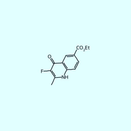 CCOC(=O)c1ccc2[nH]c(C)c(F)c(=O)c2c1